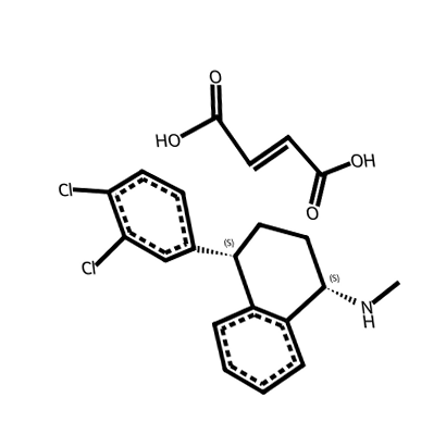 CN[C@H]1CC[C@@H](c2ccc(Cl)c(Cl)c2)c2ccccc21.O=C(O)C=CC(=O)O